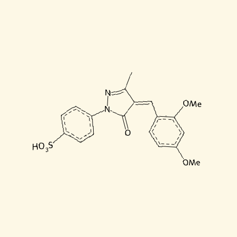 COc1ccc(/C=C2\C(=O)N(c3ccc(S(=O)(=O)O)cc3)N=C2C)c(OC)c1